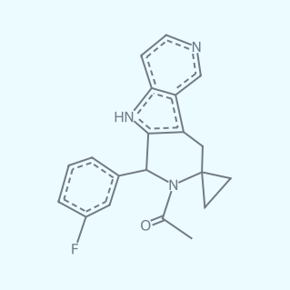 CC(=O)N1C(c2cccc(F)c2)c2[nH]c3ccncc3c2CC12CC2